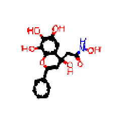 O=C(CC1(O)C=C(c2ccccc2)Oc2c1cc(O)c(O)c2O)NO